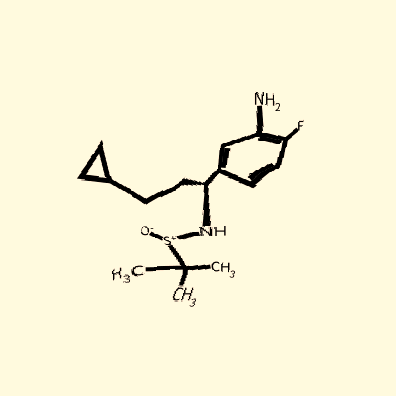 CC(C)(C)[S+]([O-])N[C@@H](CCC1CC1)c1ccc(F)c(N)c1